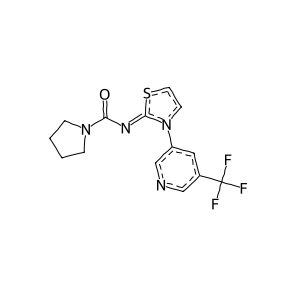 O=C(N=c1sccn1-c1cncc(C(F)(F)F)c1)N1CCCC1